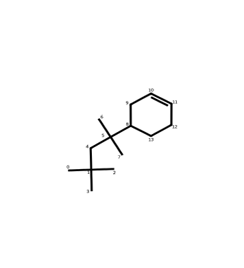 CC(C)(C)CC(C)(C)C1CC=CCC1